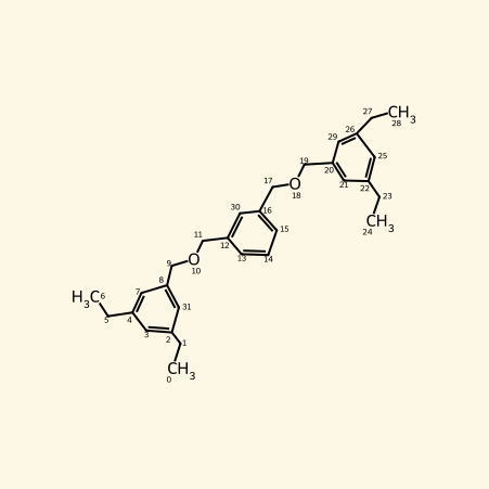 CCc1cc(CC)cc(COCc2cccc(COCc3cc(CC)cc(CC)c3)c2)c1